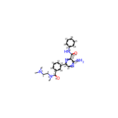 CN(C)CCN(C)C(=O)c1cccc(-c2cnc(N)c(C(=O)Nc3ccccc3)n2)c1